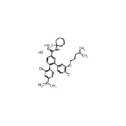 CN(C)CCCOc1cc(-c2nc(C(=O)NC3(C(=O)O)CCCCC3)ccc2-c2ccc(N(C)C)cc2Cl)ccc1Cl.Cl